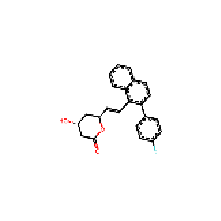 O=C1C[C@H](O)C[C@@H](/C=C/c2c(-c3ccc(F)cc3)ccc3ccccc23)O1